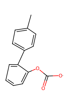 Cc1ccc(-c2ccccc2OC([O])=O)cc1